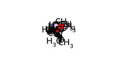 CC(C)Oc1ccc2c(O[C@@H]3C[C@H]4C(=O)N[C@]5(C(=O)NS(=O)(=O)C6(C)CC6)C[C@H]5/C=C\CC[C@H](C)C[C@@H](C)[C@H](N(C(=O)O)C(C)(C)C)C(=O)N4C3)nccc2c1